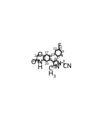 Cc1nn(CC#N)c(-c2ccc(F)cc2)c1-c1ccc2c(c1)NC(=O)CO2